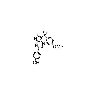 COc1ccc(C2(c3nnc4nc(-c5ccc(O)cc5)cnn34)CC2)cc1